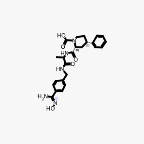 CC(NC(=O)[C@H]1C[C@@H](c2ccccc2)CCN1C(=O)O)C(=O)NCc1ccc(/C(N)=N/O)cc1